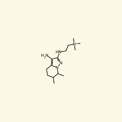 CC1CCc2c(N)c(NCC[N+](C)(C)C)nn2C1C